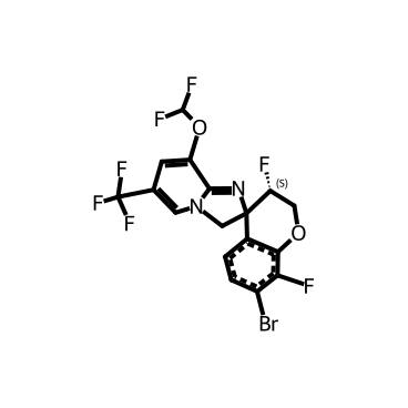 Fc1c(Br)ccc2c1OC[C@@H](F)C21CN2C=C(C(F)(F)F)C=C(OC(F)F)C2=N1